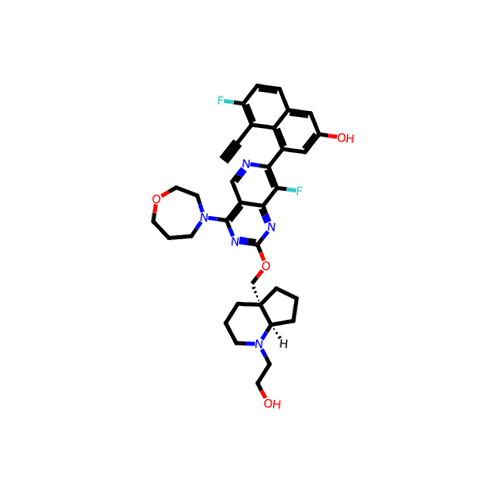 C#Cc1c(F)ccc2cc(O)cc(-c3ncc4c(N5CCCOCC5)nc(OC[C@]56CCC[C@H]5N(CCO)CCC6)nc4c3F)c12